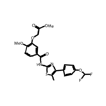 COC(=O)COc1cc(C(=O)Nc2nc(-c3ccc(OC(F)F)cc3)c(C)s2)ccc1OC